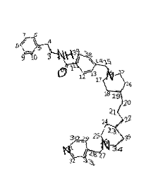 O=C(NCCc1ccccc1)c1ccc(CN2CCC(CCCC3CCN(Cc4ccncc4)CC3)CC2)cc1